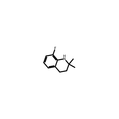 CC1(C)CCc2cccc(F)c2N1